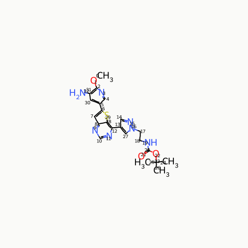 COc1ncc(-c2cc3ncnc(-c4cnn(CCNC(=O)OC(C)(C)C)c4)c3s2)cc1N